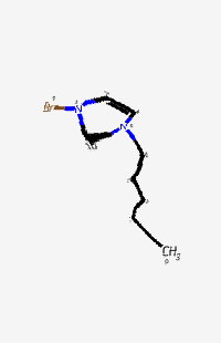 CCCCCN1C=CN(Br)C1